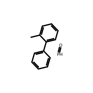 Cc1ccccc1-c1ccccc1.O=P